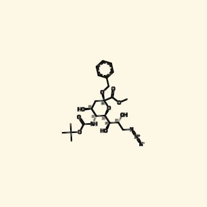 COC(=O)[C@@]1(OCc2ccccc2)C[C@H](O)[C@@H](NC(=O)OC(C)(C)C)[C@H]([C@H](O)[C@H](O)CN=[N+]=[N-])O1